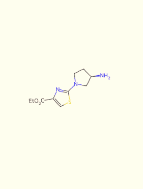 CCOC(=O)c1csc(N2CC[C@@H](N)C2)n1